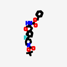 CC(C)(C)OC(=O)N1CCC(F)(c2ccc3c(c2)OC[C@H](NC(=O)OCc2ccccc2)C3)CC1